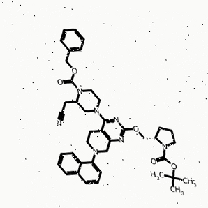 CC(C)(C)OC(=O)N1CCC[C@H]1COc1nc2c(c(N3CCN(C(=O)OCc4ccccc4)C(CC#N)C3)n1)CCN(c1cccc3ccccc13)C2